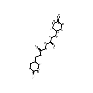 O=C1CCC(CCC(=S)CCC(=S)CCC2CCC(=O)OC2)CO1